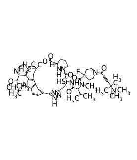 CCn1c(-c2cccnc2[C@H](C)OC)c2c3cc(ccc31)-c1nc(n[nH]1)C[Si@H](NC(=O)[C@H](C(C)C)N(C)C(=O)C1(F)CCN(C(=O)C#CC(C)(C)N(C)C)CC1)C(=O)N1CCC[C@H](N1)C(=O)OCC(C)(C)C2